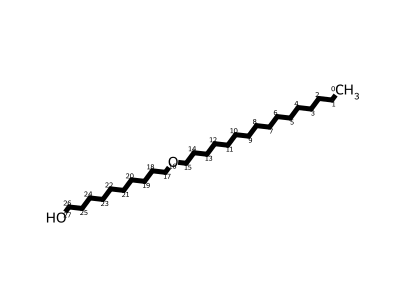 CCCCCCCCCCCCCCCCOCCCCCCCCCCO